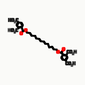 O=C(O)c1ccc(C(=O)OCCCCCCCCCCCCCCOC(=O)c2ccc(C(=O)O)cc2C(=O)O)c(C(=O)O)c1